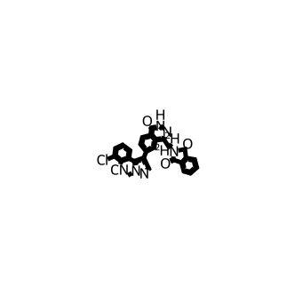 [2H]C([2H])(c1n[nH]c(=O)c2ccc(-c3cnn(C)c3-c3cccc(Cl)c3C#N)cc12)N1C(=O)c2ccccc2C1=O